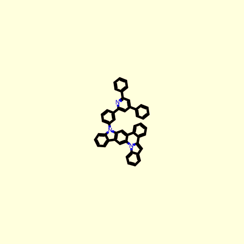 c1ccc(-c2cc(-c3ccccc3)nc(-c3cccc(-n4c5ccccc5c5cc6c(cc54)c4ccccc4c4cc5ccccc5n46)c3)c2)cc1